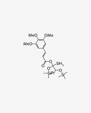 COc1cc(C=CC(=O)OC([SiH3])(O[Si](C)(C)C)C(O[Si](C)(C)C)C(C)C)cc(OC)c1OC